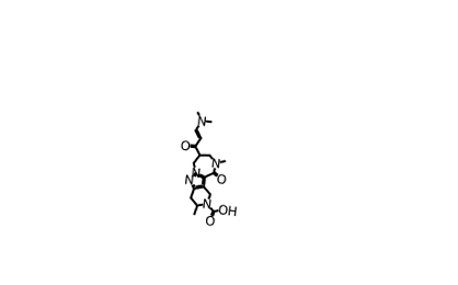 CC1Cc2nn3c(c2CN1C(=O)O)C(=O)N(C)CC(C(=O)C=CN(C)C)C3